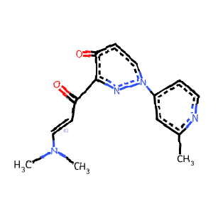 Cc1cc(-n2ccc(=O)c(C(=O)/C=C/N(C)C)n2)ccn1